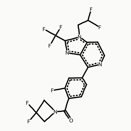 O=C(c1ccc(-c2nccc3c2nc(C(F)(F)F)n3CC(F)F)cc1F)N1CC(F)(F)C1